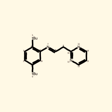 CC(C)(C)c1ccc(C(C)(C)C)c(N=CCc2ncccn2)c1